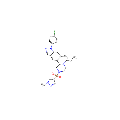 Cc1cc2c(cnn2-c2ccc(F)cc2)cc1[C@@H]1CN(S(=O)(=O)c2cnn(C)c2)CCN1CCC(F)(F)F